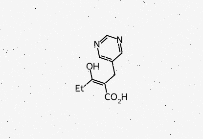 CCC(O)=C(Cc1cncnc1)C(=O)O